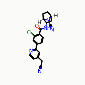 N#CCc1ccnc(-c2ccc(C(=O)N[C@@H]3C[C@@H]4CC[C@H]3N4C#N)c(Cl)c2)c1